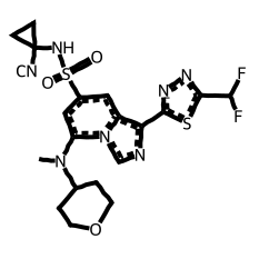 CN(c1cc(S(=O)(=O)NC2(C#N)CC2)cc2c(-c3nnc(C(F)F)s3)ncn12)C1CCOCC1